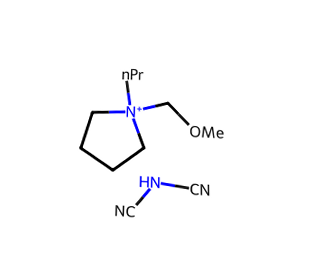 CCC[N+]1(COC)CCCC1.N#CNC#N